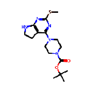 CSc1nc2c(c(N3CCN(C(=O)OC(C)(C)C)CC3)n1)CCN2